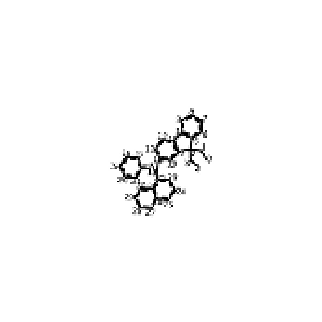 CCC1(CC)c2ccccc2-c2ccc(N(c3ccccc3)c3cccc4ccccc34)cc21